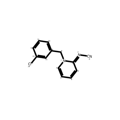 N#CN=c1ccccn1Cc1cccc(Cl)c1